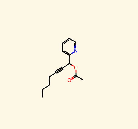 CCCCC#CC(OC(C)=O)c1ccccn1